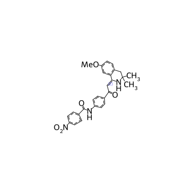 COc1ccc2c(c1)/C(=C/C(=O)c1ccc(NC(=O)c3ccc([N+](=O)[O-])cc3)cc1)NC(C)(C)C2